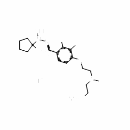 COCCN(C)CCOc1ccc(C=NN(C)C2(C(=O)O)CCCC2)c(F)c1F.Cl